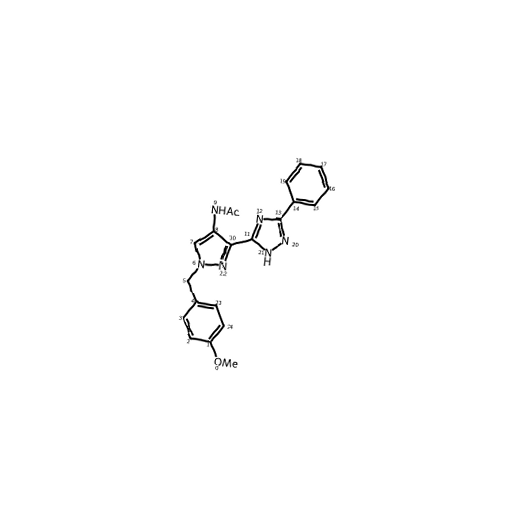 COc1ccc(Cn2cc(NC(C)=O)c(-c3nc(-c4ccccc4)n[nH]3)n2)cc1